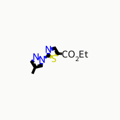 CCOC(=O)c1cnc(-n2cc(C)cn2)s1